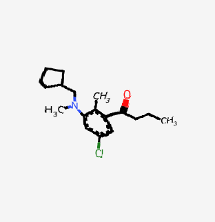 CCCC(=O)c1cc(Cl)cc(N(C)CC2CCCC2)c1C